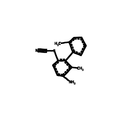 Cc1ccccc1-c1c(SC#N)ccc(N)c1C